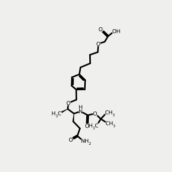 C[C@@H](OCc1ccc(CCCCOCC(=O)O)cc1)[C@H](CCC(N)=O)NC(=O)OC(C)(C)C